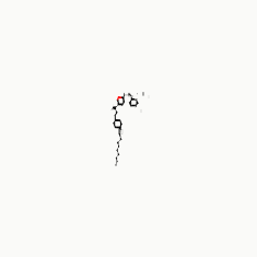 CCCCCCCCCCOc1ccc(C=CC(=O)c2ccc(N=C(C)c3ccc(O)cc3O)cc2)cc1